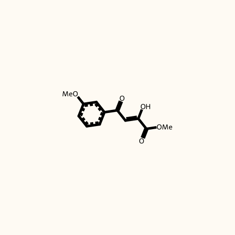 COC(=O)/C(O)=C/C(=O)c1cccc(OC)c1